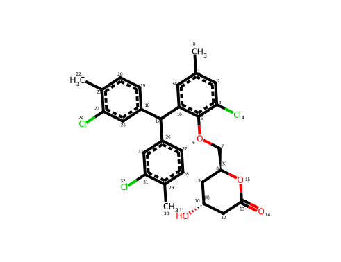 Cc1cc(Cl)c(OC[C@@H]2C[C@@H](O)CC(=O)O2)c(C(c2ccc(C)c(Cl)c2)c2ccc(C)c(Cl)c2)c1